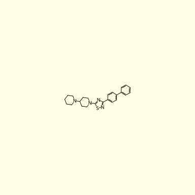 c1ccc(-c2ccc(-c3nsc(N4CCC(N5CCCCC5)CC4)n3)cc2)cc1